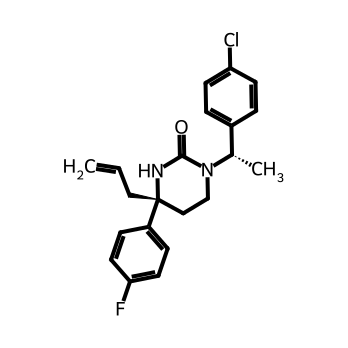 C=CC[C@]1(c2ccc(F)cc2)CCN([C@@H](C)c2ccc(Cl)cc2)C(=O)N1